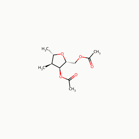 CC(=O)OC[C@H]1O[C@@H](C)[C@H](C)[C@@H]1OC(C)=O